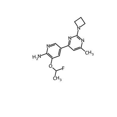 Cc1cc(-c2cnc(N)c(OC(C)F)c2)nc(N2CCC2)n1